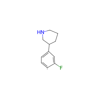 Fc1[c]ccc(C2CCCNC2)c1